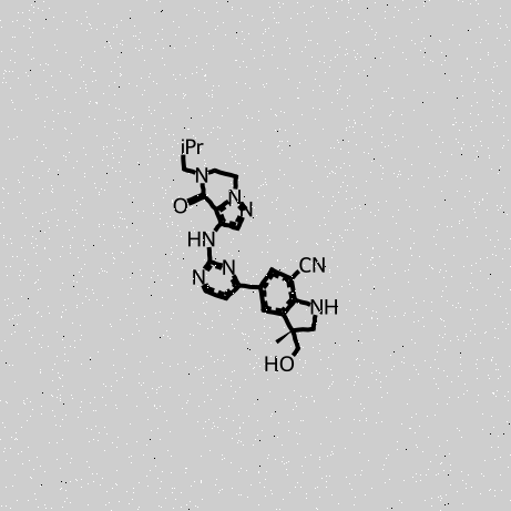 CC(C)CN1CCn2ncc(Nc3nccc(-c4cc(C#N)c5c(c4)[C@@](C)(CO)CN5)n3)c2C1=O